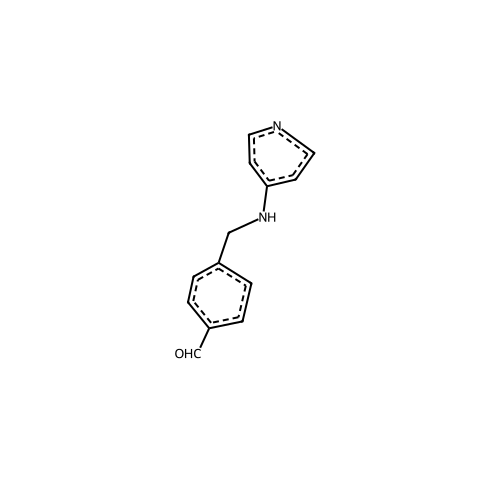 O=Cc1ccc(CNc2ccncc2)cc1